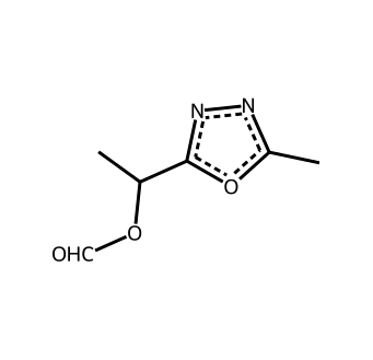 Cc1nnc(C(C)OC=O)o1